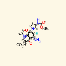 CC1COc2c(N3CCC(NC(=O)OC(C)(C)C)C3)c(F)c(N)c3c(=O)c(C(=O)O)cn1c23